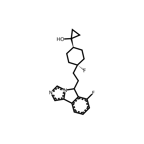 OC1([C@H]2CC[C@@](F)(CCC3c4c(F)cccc4-c4cncn43)CC2)CC1